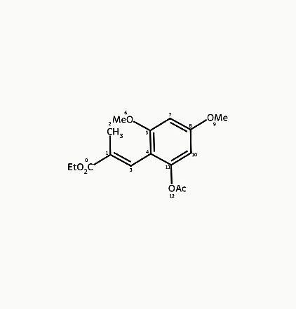 CCOC(=O)/C(C)=C/c1c(OC)cc(OC)cc1OC(C)=O